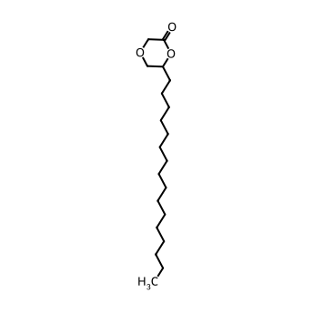 CCCCCCCCCCCCCCCCC1COCC(=O)O1